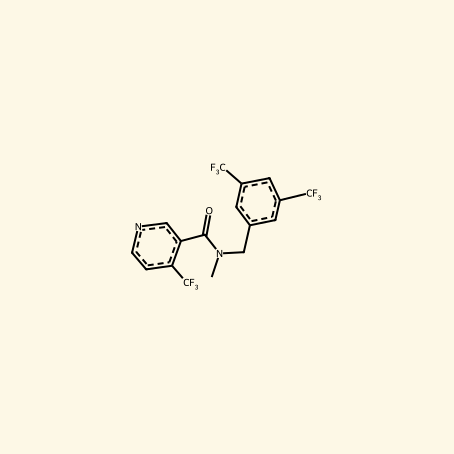 CN(Cc1cc(C(F)(F)F)cc(C(F)(F)F)c1)C(=O)c1cnccc1C(F)(F)F